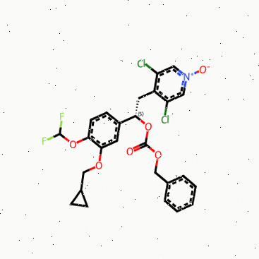 O=C(OCc1ccccc1)O[C@@H](Cc1c(Cl)c[n+]([O-])cc1Cl)c1ccc(OC(F)F)c(OCC2CC2)c1